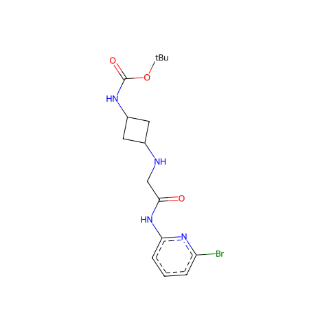 CC(C)(C)OC(=O)NC1CC(NCC(=O)Nc2cccc(Br)n2)C1